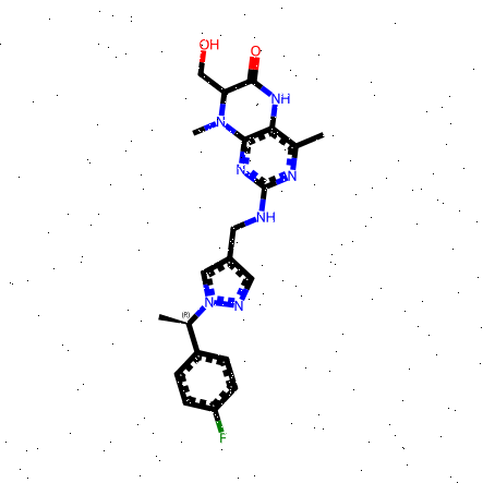 Cc1nc(NCc2cnn([C@H](C)c3ccc(F)cc3)c2)nc2c1NC(=O)C(CO)N2C